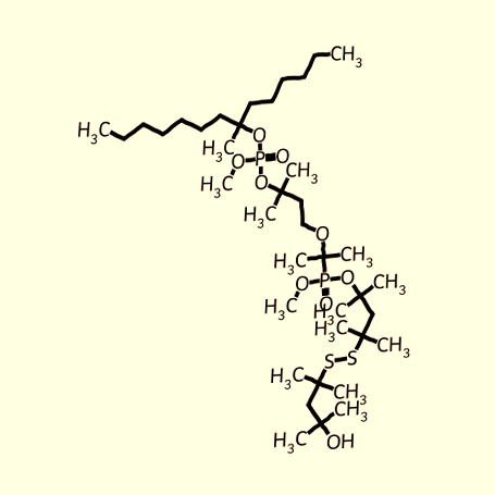 CCCCCCCC(C)(CCCCCC)OP(=O)(OC)OC(C)(C)CCOC(C)(C)P(=O)(OC)OC(C)(C)CC(C)(C)SSC(C)(C)CC(C)(C)O